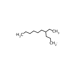 [CH2]CCCCCC(CC)CC[CH2]